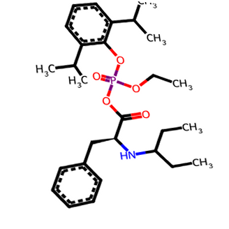 CCOP(=O)(OC(=O)[C@H](Cc1ccccc1)NC(CC)CC)Oc1c(C(C)C)cccc1C(C)C